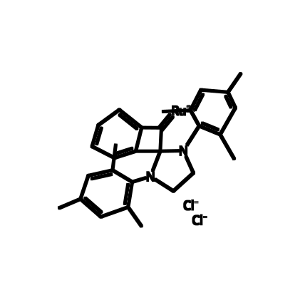 Cc1cc(C)c(N2CCN(c3c(C)cc(C)cc3C)C23[C](=[Ru+2])c2ccccc23)c(C)c1.[Cl-].[Cl-]